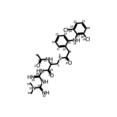 CC(=O)NC(CSC(=O)Cc1ccccc1Nc1c(Cl)cccc1Cl)C(=O)NC(=N)NC(=N)N(C)C